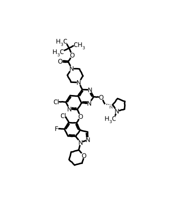 CN1CCC[C@H]1COc1nc(N2CCN(C(=O)OC(C)(C)C)CC2)c2cc(Cl)nc(Oc3c(Cl)c(F)cc4c3cnn4C3CCCCO3)c2n1